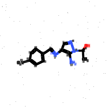 CC(O)n1ncc(/N=C/c2ccc([N+](=O)[O-])cc2)c1N